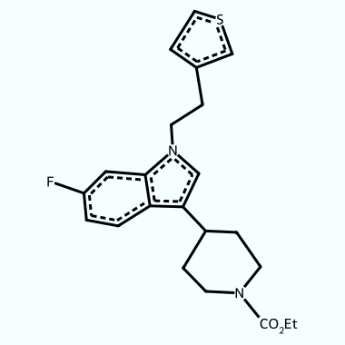 CCOC(=O)N1CCC(c2cn(CCc3ccsc3)c3cc(F)ccc23)CC1